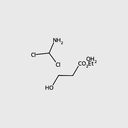 CCOC(=O)CCO.NC(Cl)Cl.O